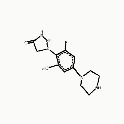 O=C1CN(c2c(O)cc(N3CCNCC3)cc2F)NN1